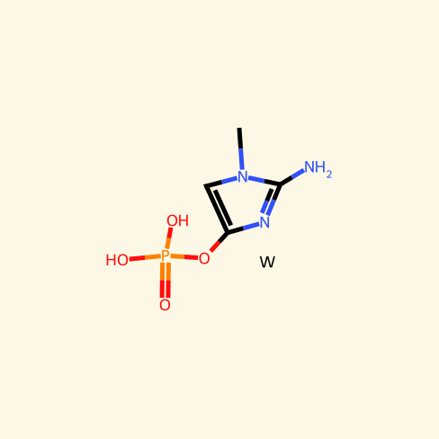 Cn1cc(OP(=O)(O)O)nc1N.[W]